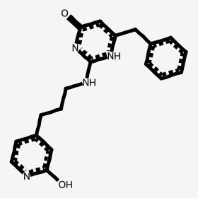 O=c1cc(Cc2ccccc2)[nH]c(NCCCc2ccnc(O)c2)n1